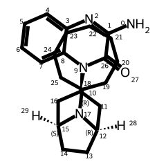 Nc1nc2ccccc2n([C@H]2C[C@H]3CC[C@@H](C2)N3C2CCCCCCC2)c1=O